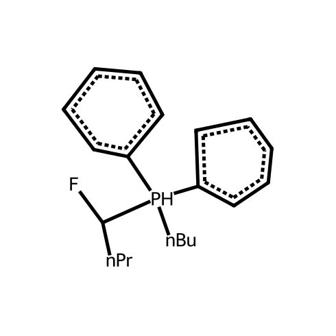 CCCC[PH](c1ccccc1)(c1ccccc1)C(F)CCC